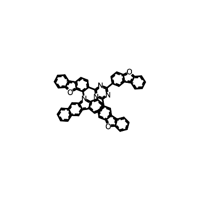 c1ccc2cc3c(cc2c1)c1ccccc1n3-c1c(-c2nc(-c3ccc4oc5ccccc5c4c3)nc(-c3ccc4oc5ccccc5c4c3)n2)ccc2c1oc1ccccc12